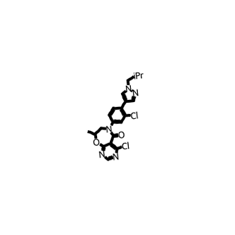 CC(C)Cn1cc(-c2ccc(N3CC(C)Oc4ncnc(Cl)c4C3=O)cc2Cl)cn1